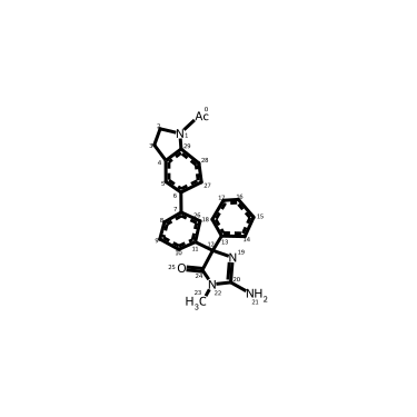 CC(=O)N1CCc2cc(-c3cccc(C4(c5ccccc5)N=C(N)N(C)C4=O)c3)ccc21